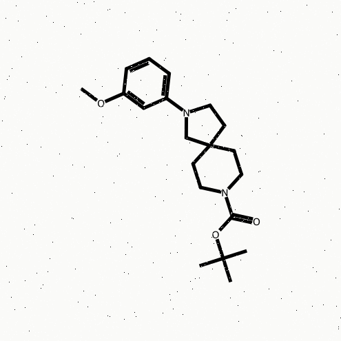 COc1cccc(N2CCC3(CCN(C(=O)OC(C)(C)C)CC3)C2)c1